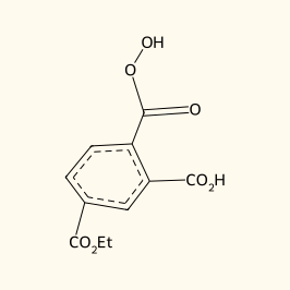 CCOC(=O)c1ccc(C(=O)OO)c(C(=O)O)c1